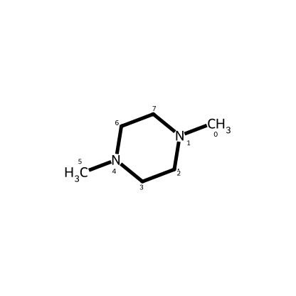 CN1[CH]CN(C)CC1